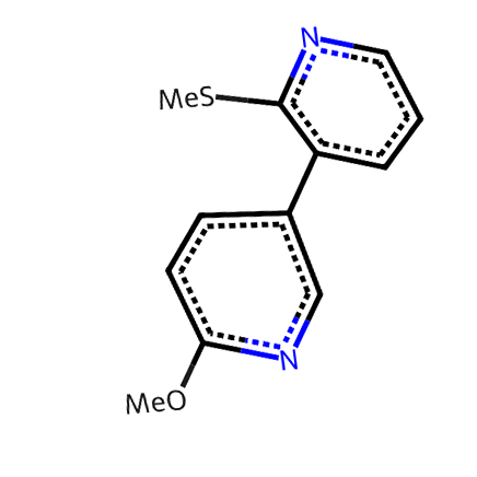 COc1ccc(-c2cccnc2SC)cn1